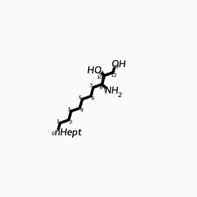 CCCCCCCCCCCCCCC(N)C(O)CO